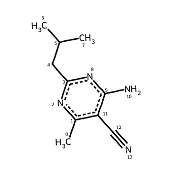 Cc1nc(CC(C)C)nc(N)c1C#N